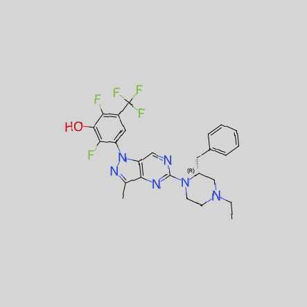 CCN1CCN(c2ncc3c(n2)c(C)nn3-c2cc(C(F)(F)F)c(F)c(O)c2F)[C@H](Cc2ccccc2)C1